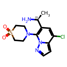 C[C@H](N)c1cc(Cl)c2ccnn2c1N1CCS(=O)(=O)CC1